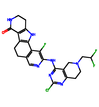 O=C1NCCc2[nH]c3c(c21)CCc1cnc(Nc2nc(Cl)nc4c2CN(CC(F)F)CC4)c(F)c1-3